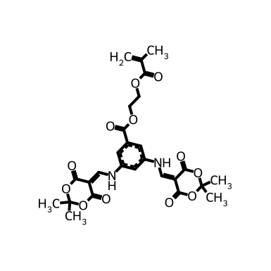 C=C(C)C(=O)OCCOC(=O)c1cc(NC=C2C(=O)OC(C)(C)OC2=O)cc(NC=C2C(=O)OC(C)(C)OC2=O)c1